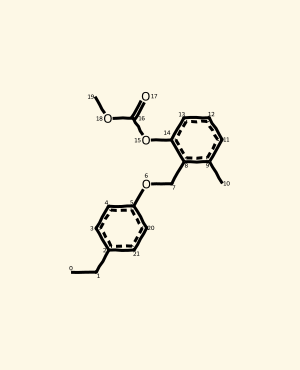 CCc1ccc(OCc2c(C)cccc2OC(=O)OC)cc1